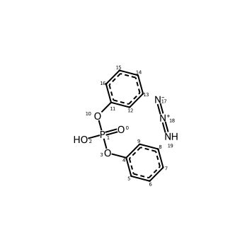 O=P(O)(Oc1ccccc1)Oc1ccccc1.[N-]=[N+]=N